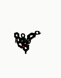 COc1ccc(N(C(=O)c2c3ccccc3nc3ccccc23)S(=O)(=O)c2ccc(C)cc2)cc1